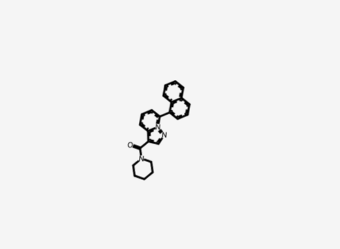 O=C(c1cnn2c(-c3cccc4ccccc34)cccc12)N1CCCCC1